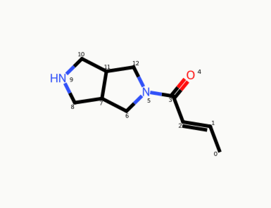 CC=CC(=O)N1CC2CNCC2C1